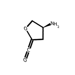 N[C@@H]1COC(=C=O)C1